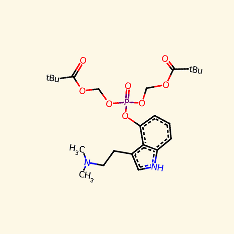 CN(C)CCc1c[nH]c2cccc(OP(=O)(OCOC(=O)C(C)(C)C)OCOC(=O)C(C)(C)C)c12